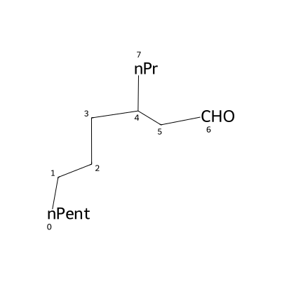 CCCCCCCCC(CC=O)CCC